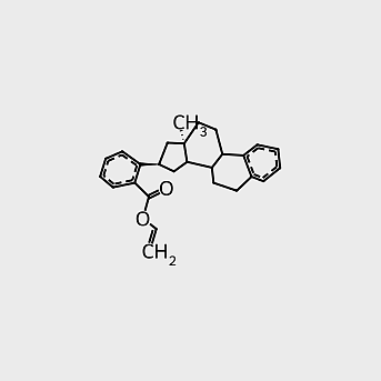 C=COC(=O)c1ccccc1[C@@H]1CC2C3CCc4ccccc4C3CC[C@]2(C)C1